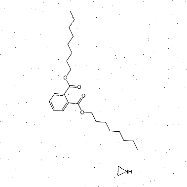 C1CN1.CCCCCCCCOC(=O)c1ccccc1C(=O)OCCCCCCCC